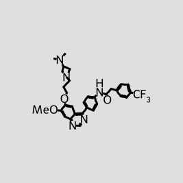 COc1cc2ncnc(-c3ccc(NC(=O)Cc4ccc(C(F)(F)F)cc4)cc3)c2cc1OCCCN1CC(N(C)C)C1